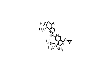 COC[C@](C)(N)c1cnc(OC2CC2)c2cnc(Nc3ccc4c(n3)[C@@H](C)[C@@H](C)OC4=O)cc12